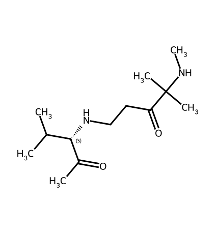 CNC(C)(C)C(=O)CCN[C@H](C(C)=O)C(C)C